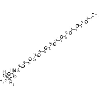 CCCOCCOCCOCCOCCOCCOCCOCCOCCOCCNC(=O)OC(C)(C)C